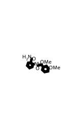 COc1cccc(C(OC)C(=O)Nc2ccccc2C(N)=O)c1